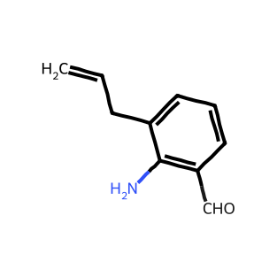 C=CCc1cccc(C=O)c1N